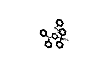 PC(c1ccccc1)(c1ccccc1)[C@H]1C[C@@H](P(c2ccccc2)c2ccccc2)CN1ONc1ccccc1